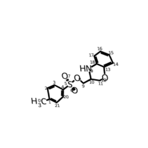 Cc1ccc(S(=O)(=O)OCC2COc3ccccc3N2)cc1